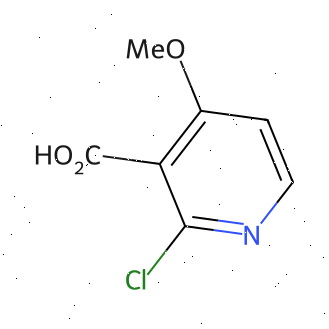 COc1ccnc(Cl)c1C(=O)O